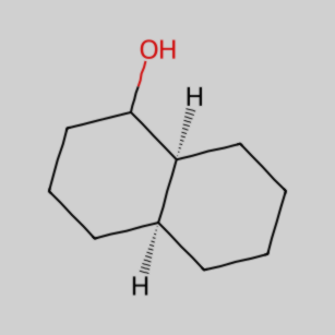 OC1CCC[C@@H]2CCCC[C@H]12